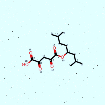 CC(C)CCC(CC(C)C)OC(=O)C(=O)CC(=O)C(=O)O